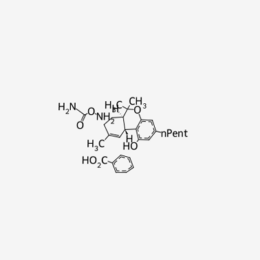 CCCCCc1cc(O)c2c(c1)OC(C)(C)[C@@H]1CCC(C)=C[C@@H]21.NOC(N)=O.O=C(O)c1ccccc1